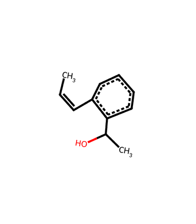 C/C=C\c1ccccc1C(C)O